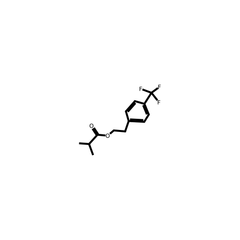 CC(C)C(=O)OCCc1ccc(C(F)(F)F)cc1